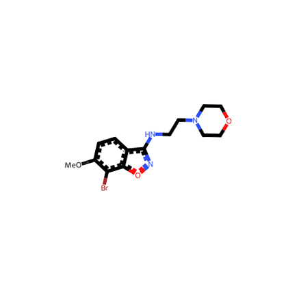 COc1ccc2c(NCCN3CCOCC3)noc2c1Br